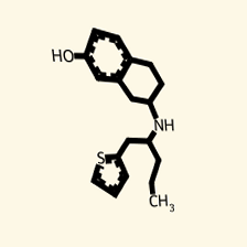 CCCC(Cc1cccs1)NC1CCc2ccc(O)cc2C1